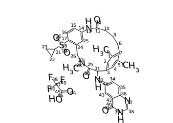 Cc1cc2cc(C)c1CCCC(=O)Nc1ccc(S(=O)(=O)C3CC3)c(c1)CN(C)C(=O)C2Nc1ccc2nc[nH]c(=O)c2c1.O=C(O)C(F)(F)F